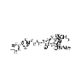 CNS(=O)(=O)c1cc(C(=O)CCCCCN2CCN(c3ccccc3)CC2)ccc1S(C)(=O)=O